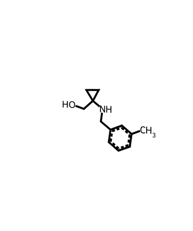 Cc1cccc(CNC2(CO)CC2)c1